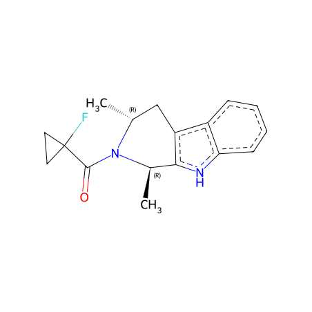 C[C@@H]1Cc2c([nH]c3ccccc23)[C@@H](C)N1C(=O)C1(F)CC1